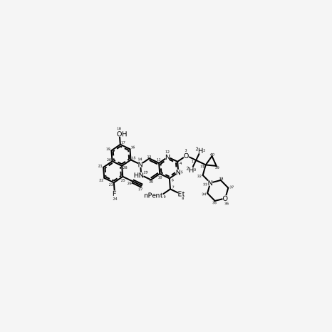 [2H]C([2H])(Oc1nc(C(CC)CCCCC)c2c(n1)=CN(c1cc(O)cc3ccc(F)c(C#C)c13)NC=2)C1(CN2CCOCC2)CC1